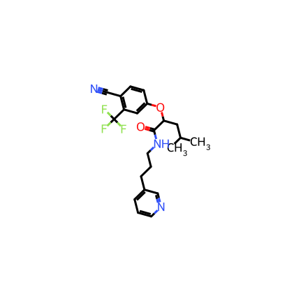 CC(C)CC(Oc1ccc(C#N)c(C(F)(F)F)c1)C(=O)NCCCc1cccnc1